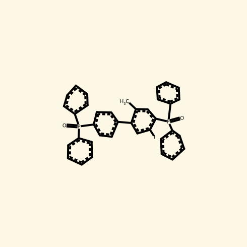 Cc1cc(P(=O)(c2ccccc2)c2ccccc2)c(I)cc1-c1ccc(P(=O)(c2ccccc2)c2ccccc2)cc1